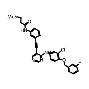 CSCCC(=O)Nc1cccc(C#Cc2cncnc2Nc2ccc(OCc3cccc(F)c3)c(Cl)c2)c1